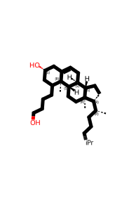 CC(C)CCC[C@@H](C)[C@H]1CC[C@H]2[C@@H]3CC=C4C[C@@H](O)CC(CCCCO)[C@]4(C)[C@H]3CC[C@]12C